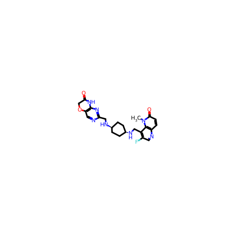 Cn1c(=O)ccc2ncc(F)c(CN[C@H]3CC[C@H](NCc4ncc5c(n4)NC(=O)CO5)CC3)c21